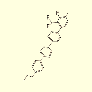 CCCc1ccc(-c2ccc(-c3ccc(-c4ccc(C)c(F)c4C(F)F)cc3)cc2)cc1